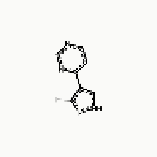 Ic1n[nH]cc1-c1ccncn1